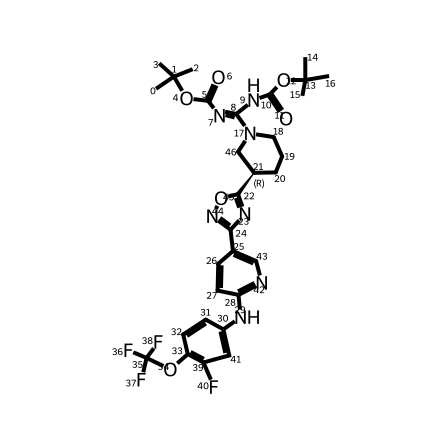 CC(C)(C)OC(=O)N=C(NC(=O)OC(C)(C)C)N1CCC[C@@H](c2nc(-c3ccc(Nc4ccc(OC(F)(F)F)c(F)c4)nc3)no2)C1